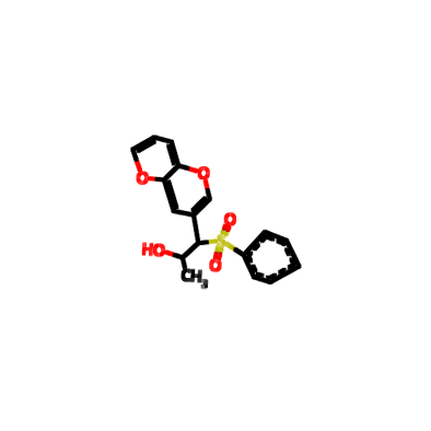 CC(O)C(C1=COC2=CC=COC2=C1)S(=O)(=O)c1ccccc1